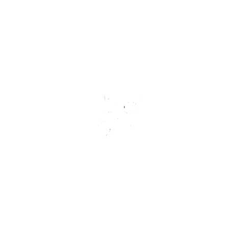 CCCC(C(=O)OC(C)(C)C)(c1ccc(OC2CCCCO2)cc1)c1ccc(OC2CCCCO2)cc1